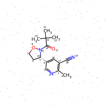 Cc1ncc([C@@H]2CCON2C(=O)C(C)(C)C)cc1C#N